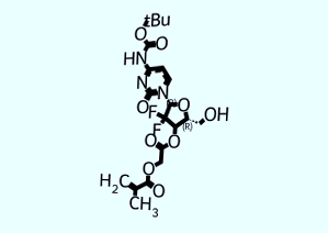 C=C(C)C(=O)OCC(=O)OC1[C@@H](CO)O[C@@H](n2ccc(NC(=O)OC(C)(C)C)nc2=O)C1(F)F